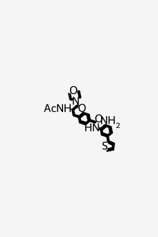 CC(=O)N[C@@H](Cc1ccc(C(=O)Nc2cc(-c3cccs3)ccc2N)cc1)C(=O)N1CCOCC1